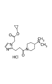 CN(C)C1CCN(C(=O)CCc2nccn2CC(=O)OC2CC2)CC1.Cl